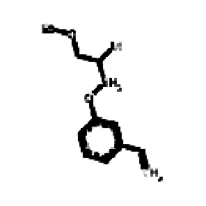 C=Cc1cccc(O[SiH2]C(CC)COCC)c1